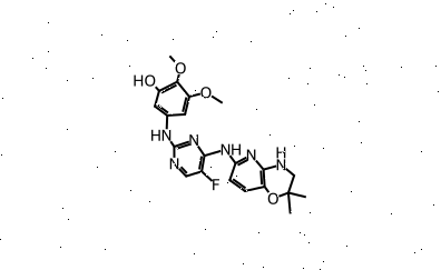 COc1cc(Nc2ncc(F)c(Nc3ccc4c(n3)NCC(C)(C)O4)n2)cc(O)c1OC